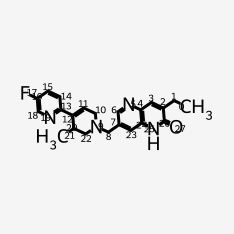 CCc1cc2ncc(CN3CC=C(c4ccc(F)cn4)C(C)C3)cc2[nH]c1=O